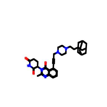 Cc1nc2cccc(C#CCN3CCN(CCC45CC6CC(CC(C6)C4)C5)CC3)c2c(=O)n1C1CCC(=O)NC1=O